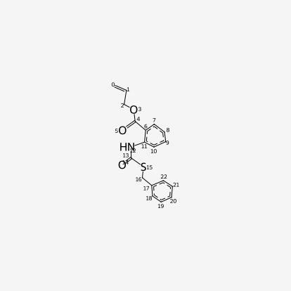 C=CCOC(=O)c1ccccc1NC(=O)SCc1ccccc1